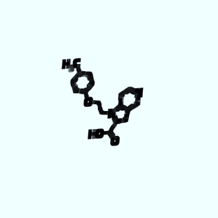 Cc1ccc(OCCn2c(C(=O)O)cc3cnccc32)cc1